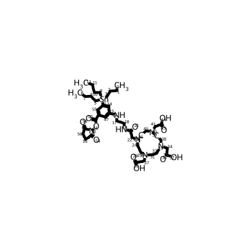 CCC[CH2][Sn]([CH2]CCC)([CH2]CCC)[c]1cc(NCCNC(=O)CN2CCN(CC(=O)O)CCN(CC(=O)O)CCN(CC(=O)O)CC2)cc(C(=O)ON2C(=O)CCC2=O)c1